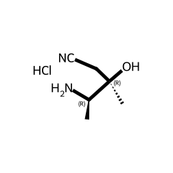 C[C@@H](N)[C@](C)(O)CC#N.Cl